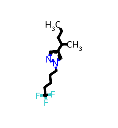 CCCC(C)c1cnn(CCCCC(F)(F)F)c1